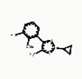 COc1c(N)cccc1-c1nn(C2CC2)nc1C